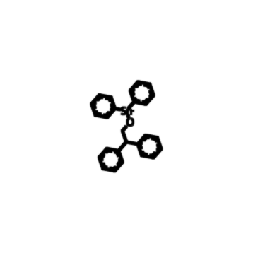 c1ccc(C(C[O][Sn]([c]2ccccc2)[c]2ccccc2)c2ccccc2)cc1